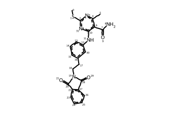 CSc1nc(C)c(C(N)=O)c(Nc2cccc(CCN3C(=O)c4ccccc4C3=O)c2)n1